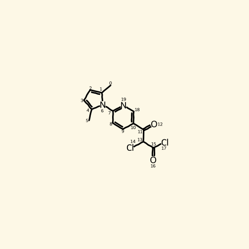 Cc1ccc(C)n1-c1ccc(C(=O)C(Cl)C(=O)Cl)cn1